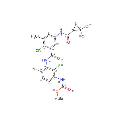 Cc1cc(NC(=O)C2CC2(Cl)Cl)cc(C(=O)Nc2c(F)ccc(NC(=O)OC(C)(C)C)c2F)c1Cl